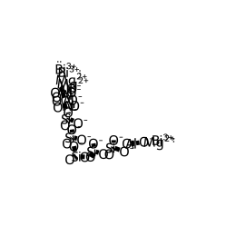 O=[Si]([O-])[O-].O=[Si]([O-])[O-].O=[Si]([O-])[O-].O=[Si]([O-])[O-].O=[Si]([O-])[O-].[Bi+3].[Bi+3].[Bi+3].[Mg+2].[Mg+2].[Mg+2].[O]=[Al][O-].[O]=[Al][O-].[O]=[Al][O-].[O]=[Al][O-].[O]=[Al][O-]